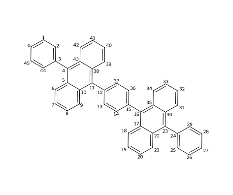 c1ccc(-c2c3ccccc3c(-c3ccc(-c4c5ccccc5c(-c5ccccc5)c5ccccc45)cc3)c3ccccc23)cc1